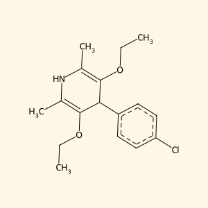 CCOC1=C(C)NC(C)=C(OCC)C1c1ccc(Cl)cc1